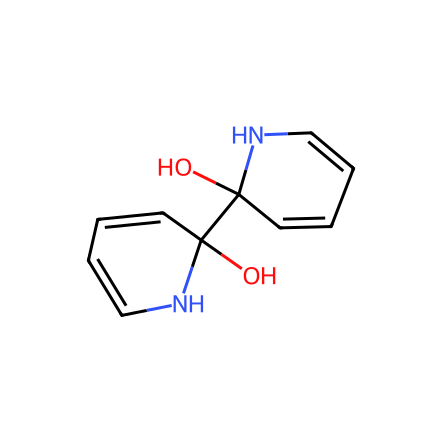 OC1(C2(O)C=CC=CN2)C=CC=CN1